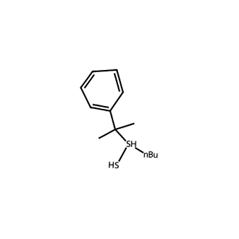 CCCC[SH](S)C(C)(C)c1ccccc1